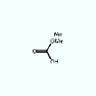 COC(=O)O.[Mn]